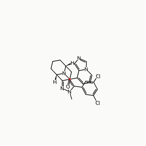 Cn1nc2c(c1-c1cc(Cl)cc(Cl)c1)C[C@H]1CCC[C@@H]2N1C(=O)c1cccn2cncc12